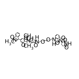 COc1cc(-c2cn(C)c(=O)c3ccccc23)cc(OC)c1CN(C)C12CC(C(=O)NCCOCCOCCNc3cccc4c3C(=O)N(C3CCC(=O)NC3=O)C4=O)(C1)C2